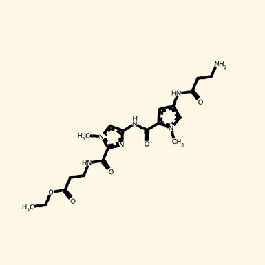 CCOC(=O)CCNC(=O)c1nc(NC(=O)c2cc(NC(=O)CCN)cn2C)cn1C